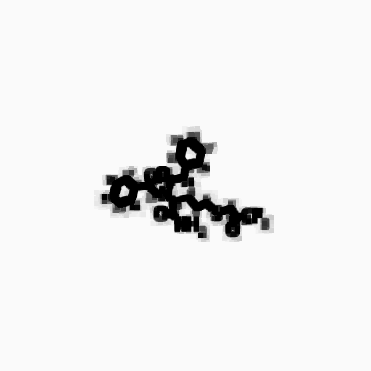 NC(=O)[C@H](CCCSCC(=O)C(F)(F)F)N(CC(O)c1ccccc1)C(=O)Cc1ccccc1